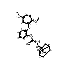 COc1ccc(OC)c(Sc2ncccc2OC(=O)NCC23CC4CC(CC(C4)C2)C3)c1